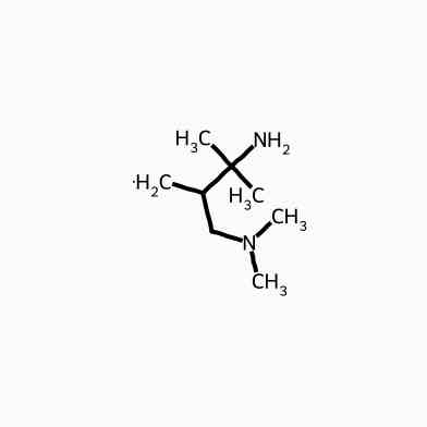 [CH2]C(CN(C)C)C(C)(C)N